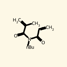 C=CC(=O)N(CCCC)C(=O)C(=C)C